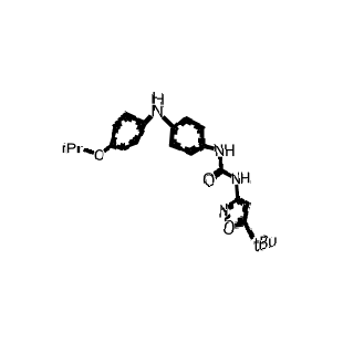 CC(C)Oc1ccc(Nc2ccc(NC(=O)Nc3cc(C(C)(C)C)on3)cc2)cc1